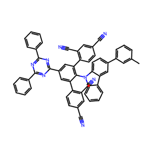 Cc1cccc(-c2ccc3c(c2)c2ccccc2n3-c2c(-c3ccc(C#N)cc3C#N)cc(-c3nc(-c4ccccc4)nc(-c4ccccc4)n3)cc2-c2ccc(C#N)cc2C#N)c1